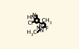 CCc1nc2c(F)cc(C)c(-c3cc(Cl)c4[nH]ncc4c3)n2n1